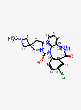 CN1CC2(CCN(C(=O)N3c4ccc(Cl)cc4C(=O)Nc4cccnc43)C2)C1